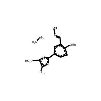 CCCCN.Cc1nc(-c2ccc(OCC(C)C)c(C=NO)c2)sc1C(=O)O